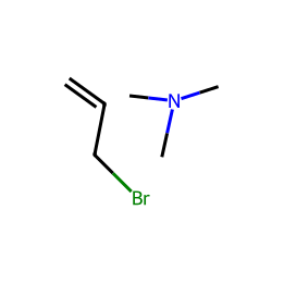 C=CCBr.CN(C)C